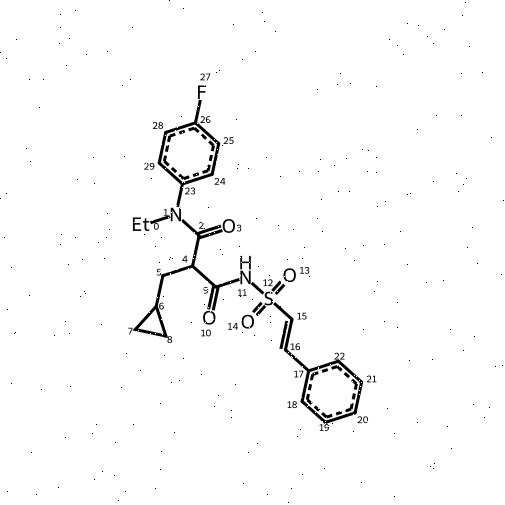 CCN(C(=O)C(CC1CC1)C(=O)NS(=O)(=O)C=Cc1ccccc1)c1ccc(F)cc1